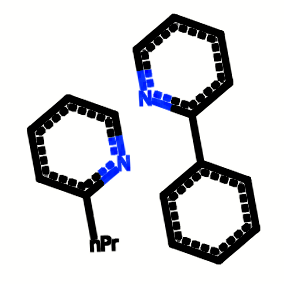 CCCc1ccccn1.c1ccc(-c2ccccn2)cc1